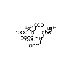 O=C([O-])CN(CC(=O)[O-])CC(=O)[O-].O=C([O-])CN(CC(=O)[O-])CC(=O)[O-].[Ba+2].[Ba+2].[Ba+2]